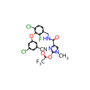 Cn1cc(C(=O)NCc2ccc(Cl)c(Oc3cc(Cl)cc(C#N)c3)c2F)nc1OC(=O)C(F)(F)F